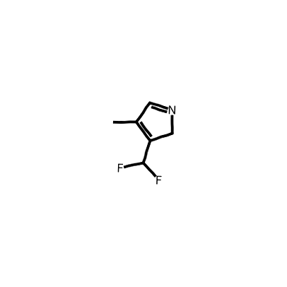 CC1=C(C(F)F)CN=C1